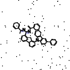 C=C(/N=C(\N=C(/C)C1=CCCC=C1)c1cccc2c1Cc1c-2cccc1-n1c2c(c3cc(-c4ccccc4)ccc31)CCC=C2)C1=CC=CCC1